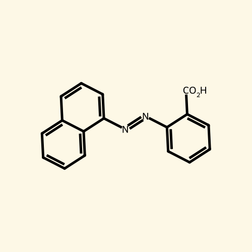 O=C(O)c1ccccc1N=Nc1cccc2ccccc12